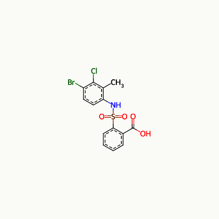 Cc1c(NS(=O)(=O)c2ccccc2C(=O)O)ccc(Br)c1Cl